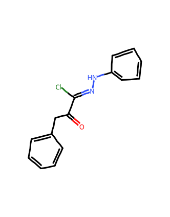 O=C(Cc1ccccc1)C(Cl)=NNc1ccccc1